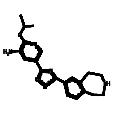 CC(C)Oc1ncc(-c2nc(-c3ccc4c(c3)CCNCC4)no2)cc1N